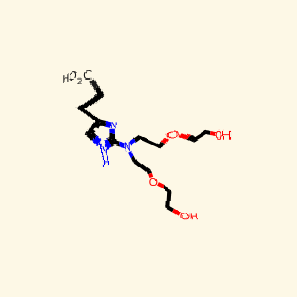 O=C(O)CCc1c[nH]c(N(CCOCCO)CCOCCO)n1